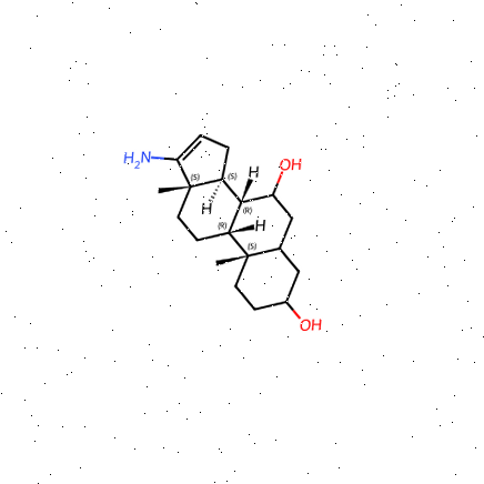 C[C@]12CCC(O)CC1CC(O)[C@@H]1[C@H]2CC[C@]2(C)C(N)=CC[C@@H]12